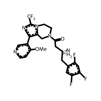 COc1ccncc1-c1nc(C(F)(F)F)n2c1CN(C(=O)C[C@H](N)Cc1cc(F)c(F)cc1F)CC2